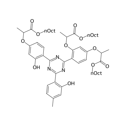 CCCCCCCCOC(=O)C(C)Oc1ccc(-c2nc(-c3ccc(C)cc3O)nc(-c3ccc(OC(C)C(=O)OCCCCCCCC)cc3OC(C)C(=O)OCCCCCCCC)n2)c(O)c1